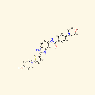 O=C(Nc1ccc2[nH]c(-c3ccc(N4CCC(O)CC4)s3)nc2c1)c1ccc(N2CCOCC2)cc1